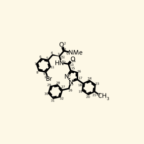 CNC(=O)[C@H](Cc1cccc(Br)c1)NC(=O)c1cc(-c2ccc(C)cc2)n(Cc2ccccc2)n1